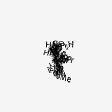 COC(=O)N[C@H](C(=O)N1CCC[C@H]1c1nc2ccc(C3CCC(c4ccc5nc([C@@H]6CCCN6C(=O)[C@@H](NC(=O)O)C(C)C)[nH]c5c4)N3c3ccc(OC(C)C)c(F)c3)cc2[nH]1)C(C)C